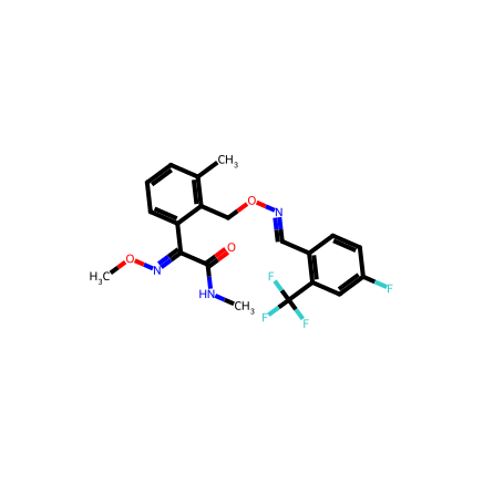 CNC(=O)/C(=N/OC)c1cccc(C)c1CO/N=C/c1ccc(F)cc1C(F)(F)F